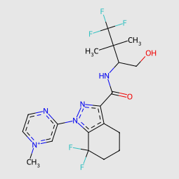 C[n+]1ccnc(-n2nc(C(=O)NC(CO)C(C)(C)C(F)(F)F)c3c2C(F)(F)CCC3)c1